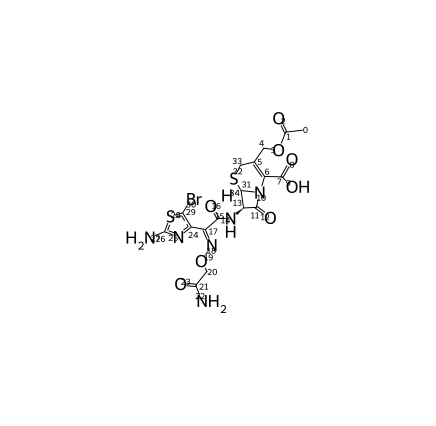 CC(=O)OCC1=C(C(=O)O)N2C(=O)[C@@H](NC(=O)C(=NOCC(N)=O)c3nc(N)sc3Br)[C@H]2SC1